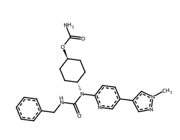 Cn1cc(-c2ccc(N(C(=O)NCc3ccccc3)[C@H]3CC[C@H](OC(N)=O)CC3)nc2)cn1